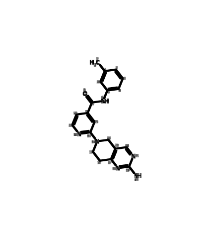 Cc1cccc(NC(=O)c2ccnc(N3CCc4nc(S)ncc4C3)c2)c1